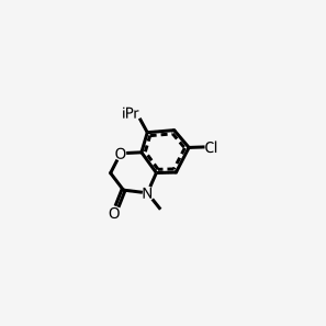 CC(C)c1cc(Cl)cc2c1OCC(=O)N2C